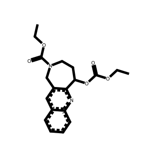 CCOC(=O)OC1CCN(C(=O)OCC)Cc2cc3ccccc3nc21